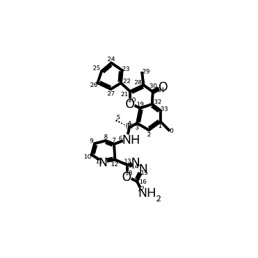 Cc1cc([C@@H](C)Nc2cccnc2-c2nnc(N)o2)c2oc(-c3ccccc3)c(C)c(=O)c2c1